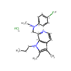 CCCn1c(C)c(C)c2ccnc(CN(C)c3ccc(F)cc3)c21.Cl